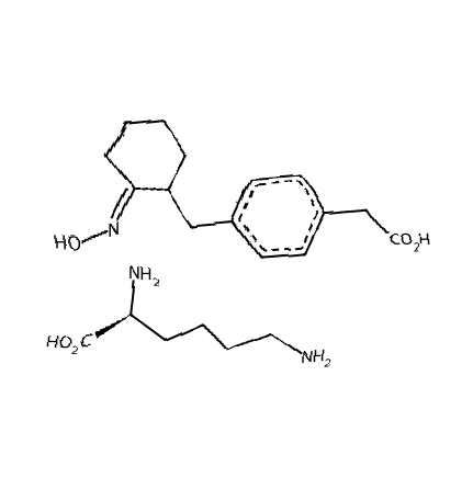 NCCCC[C@H](N)C(=O)O.O=C(O)Cc1ccc(CC2CCCCC2=NO)cc1